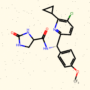 O=C1NCC(C(=O)N[C@@H](c2ccc(OC(F)(F)F)cc2)c2ccc(Cl)c(C3CC3)n2)N1